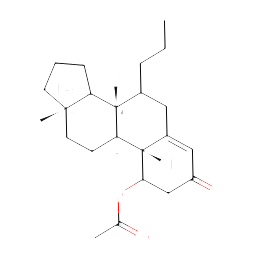 CCCC1CC2=CC(=O)CC(OC(C)=O)[C@@H]2[C@H]2CC[C@]3(C)CCC[C@H]3[C@H]12